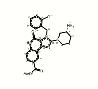 COC(=O)c1ccc2[nH]c(=O)c3c(nc(N4CCC[C@@H](N)C4)n3Cc3ccccc3Cl)c2c1